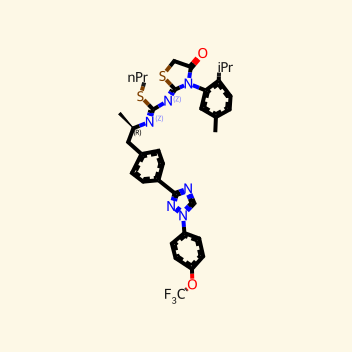 CCCSC(=N\[C@H](C)Cc1ccc(-c2ncn(-c3ccc(OC(F)(F)F)cc3)n2)cc1)/N=C1\SCC(=O)N1c1cc(C)ccc1C(C)C